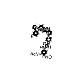 CC(=O)Nc1cc(NNC(=O)CN2CCN(c3cccc(C4CN=C(/C=C\C(=N)N5CCCC5c5cccc(F)c5)N4)n3)CC2)ccc1C=O